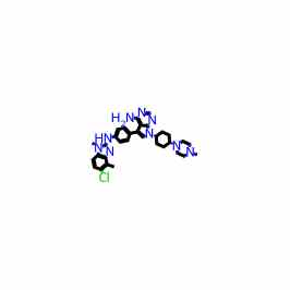 Cc1c(Cl)ccc2c1nc(Nc1ccc(-c3cn([C@H]4CC[C@H](N5CCN(C)CC5)CC4)c4ncnc(N)c34)cc1)n2C